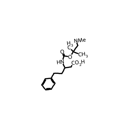 CNCC(C)(C)OC(=O)NC(CCc1ccccc1)CC(=O)O